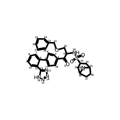 O=C(c1ccc(-c2ccccc2-c2nnn[nH]2)cc1)C(COCc1ccccc1)NS(=O)(=O)C1CC2CCC(C1)N2